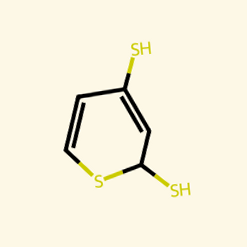 SC1=CC(S)SC=C1